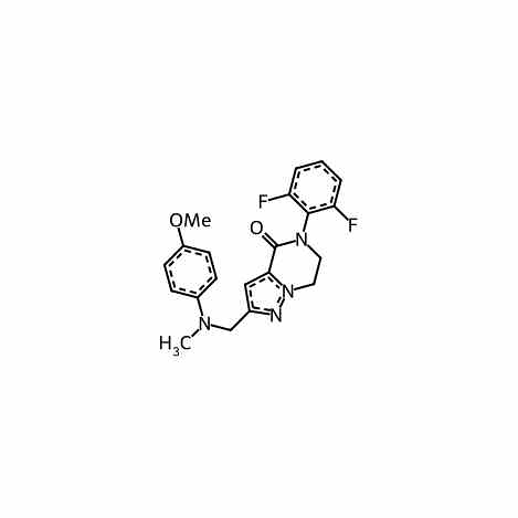 COc1ccc(N(C)Cc2cc3n(n2)CCN(c2c(F)cccc2F)C3=O)cc1